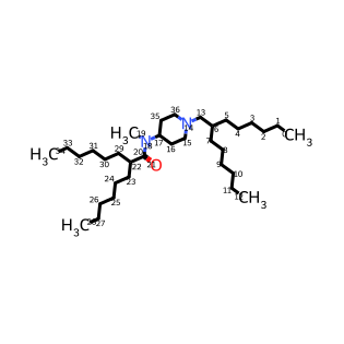 CCCCCCC(CCCCCC)CN1CCC(N(C)C(=O)C(CCCCCC)CCCCCC)CC1